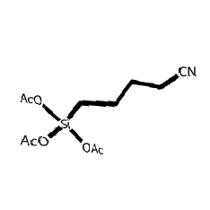 CC(=O)O[Si](CCCCC#N)(OC(C)=O)OC(C)=O